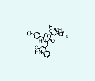 CC(CN(C)C)OC(=O)C(Cc1cc(=O)[nH]c2ccccc12)NC(=O)c1ccc(Cl)cc1